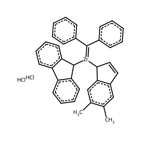 Cc1cc2c(cc1C)[CH]([Zr](=[C](c1ccccc1)c1ccccc1)[CH]1c3ccccc3-c3ccccc31)C=C2.Cl.Cl